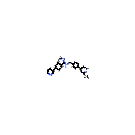 Cc1cc(-c2ccc(CNc3nccc4cc(-c5cccnc5)ccc34)cc2)ccn1